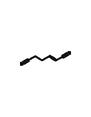 N#C/C=C/CCC#N